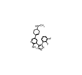 CNC1CC=C(c2cnc(N)c(-c3nnnn3-c3cccc(F)c3F)c2)CC1